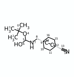 CC(C)(C)OC(O)NC[C@]12CC[C@](C#N)(CC1)CC2